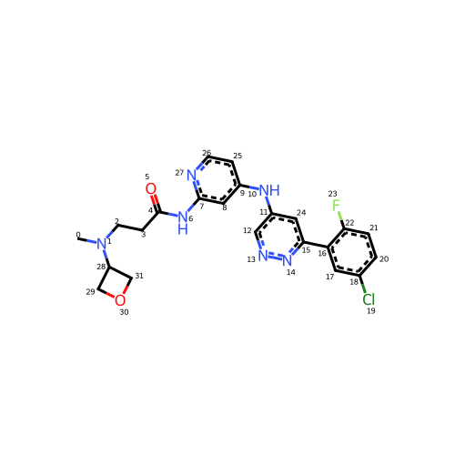 CN(CCC(=O)Nc1cc(Nc2cnnc(-c3cc(Cl)ccc3F)c2)ccn1)C1COC1